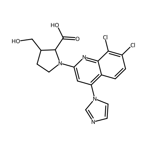 O=C(O)C1C(CO)CCN1c1cc(-n2ccnc2)c2ccc(Cl)c(Cl)c2n1